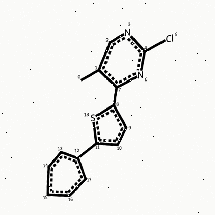 Cc1cnc(Cl)nc1-c1ccc(-c2ccccc2)s1